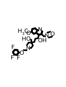 COc1ccc2ncc(CN3CCOCC3)c([C@H](O)CCC3(CO)CCN(CCOc4cc(F)cc(F)c4F)CC3)c2c1